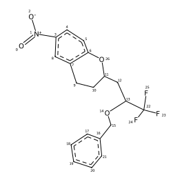 O=[N+]([O-])c1ccc2c(c1)CCC(CC(OCc1ccccc1)C(F)(F)F)O2